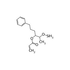 C=CC(=O)OC(CCCc1ccccc1)C(C)O[SiH3]